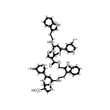 O=C(O)c1cnn2c(NCCc3c(COC(=O)c4cnn5c(NCCc6c[nH]c7ccccc67)cc(-c6cncc(F)c6)nc45)[nH]c4ccccc34)cc(-c3cncc(F)c3)nc12